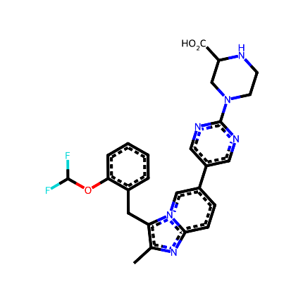 Cc1nc2ccc(-c3cnc(N4CCNC(C(=O)O)C4)nc3)cn2c1Cc1ccccc1OC(F)F